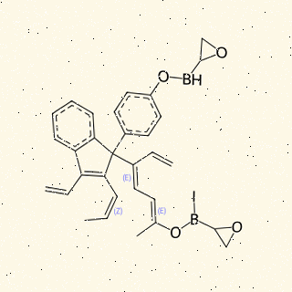 C=CC1=C(/C=C\C)C(/C(C=C)=C/C=C(\C)OB(I)C2CO2)(c2ccc(OBC3CO3)cc2)c2ccccc21